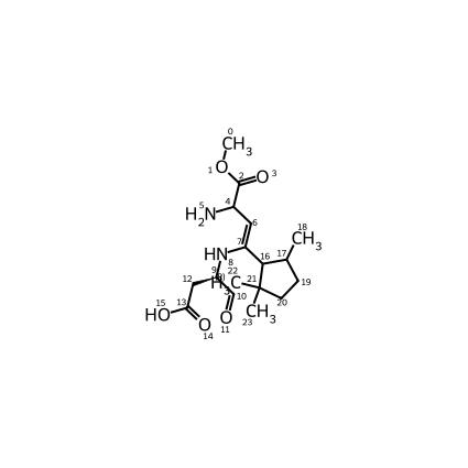 COC(=O)C(N)C=C(N[C@@H](C=O)CC(=O)O)C1C(C)CCC1(C)C